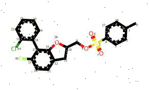 Cc1ccc(S(=O)(=O)OCC2Cc3ccc(F)c(-c4ccccc4Cl)c3O2)cc1